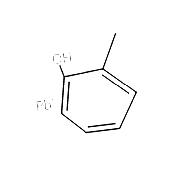 Cc1ccccc1O.[Pb]